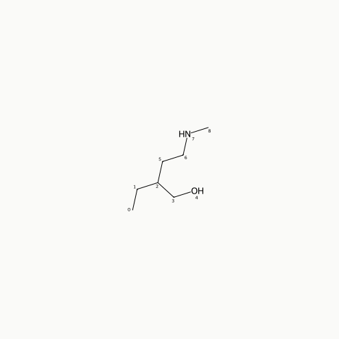 CCC(CO)CCNC